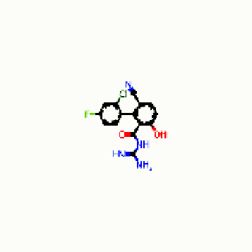 N#Cc1ccc(O)c(C(=O)NC(=N)N)c1-c1ccc(F)cc1Cl